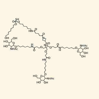 CC(=O)NC1C(OCCCCCCNC(=O)CCOCC(COCCC(=O)NCCCCCCOC2OC(CO)C(O)C(O)C2NC(C)=O)(COCCC(=O)NCCCCCCOC2OC(CO)C(O)C(O)C2NC(C)=O)NC(=O)C2CN(C(=O)CCCC(=O)NCCCCCCOP(=O)(S)OCCCCCCCO)C2)OC(CO)C(O)C1O